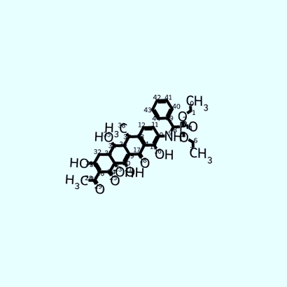 CCOP(=O)(OCC)C(Nc1ccc2c(c1O)C(=O)C1=C(O)C3(O)C(=O)C(C(C)=O)=C(O)CC3C(O)C1C2C)c1ccccc1